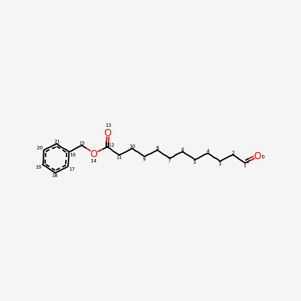 O=[C]CCCCCCCCCCC(=O)OCc1ccccc1